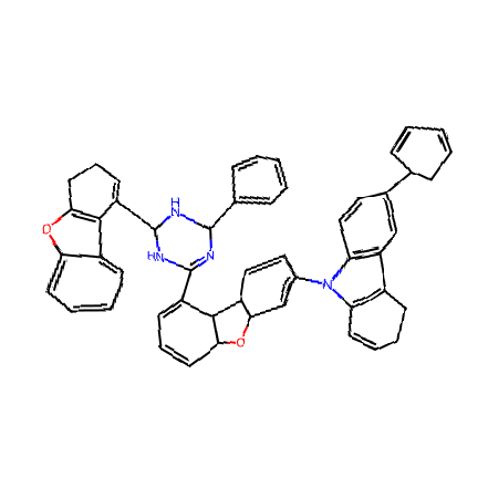 C1=CCC(c2ccc3c(c2)c2c(n3C3=CC4OC5C=CC=C(C6=NC(c7ccccc7)NC(C7=CCCc8oc9ccccc9c87)N6)C5C4C=C3)C=CCC2)C=C1